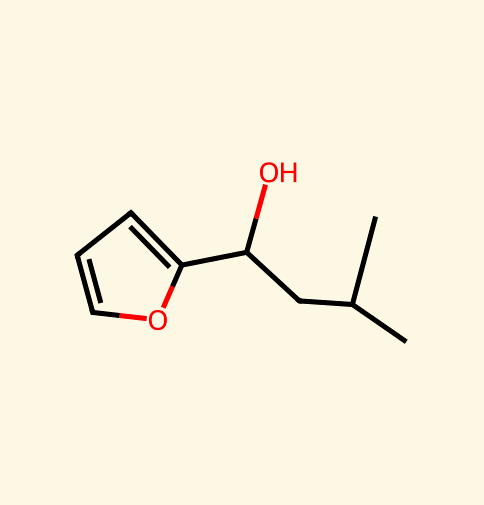 CC(C)CC(O)c1ccco1